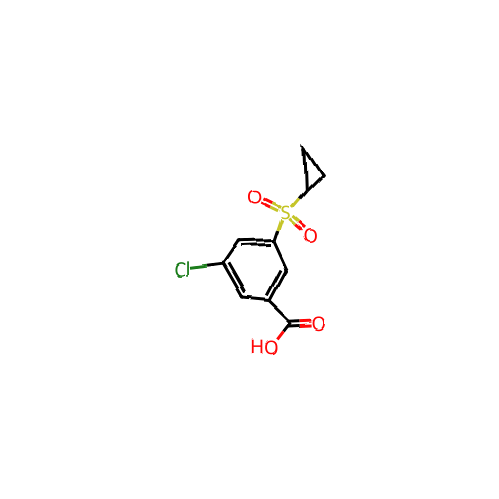 O=C(O)c1cc(Cl)cc(S(=O)(=O)C2CC2)c1